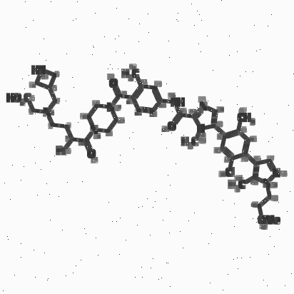 CCC(CCN(CC(=O)O)CC1CNC1)C(=O)N1CCN(C(=O)c2ccc(NC(=O)c3ncc(-c4cc(Cl)c(-c5cnn(CCOC)c5C)cc4C)n3C)cc2C)CC1